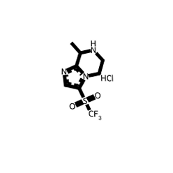 CC1NCCn2c(S(=O)(=O)C(F)(F)F)cnc21.Cl